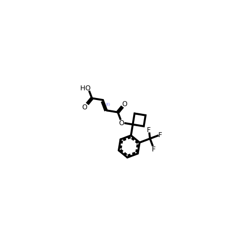 O=C(O)/C=C/C(=O)OC1(c2ccccc2C(F)(F)F)CCC1